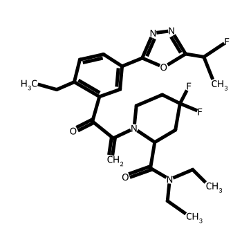 C=C(C(=O)c1cc(-c2nnc(C(C)F)o2)ccc1CC)N1CCC(F)(F)CC1C(=O)N(CC)CC